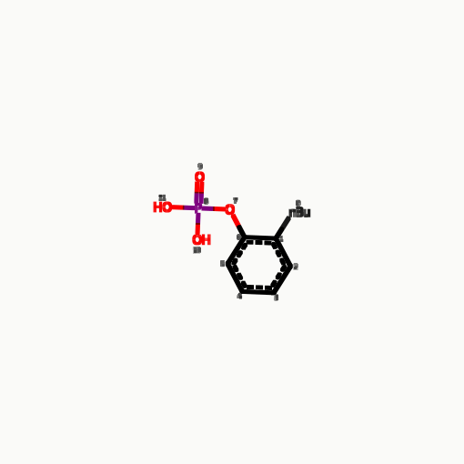 CCCCc1ccccc1OP(=O)(O)O